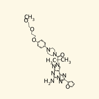 COCCOCCOc1ccc(N2CCN(C(=O)C(C)(C)n3cc4c(nc(N)n5nc(-c6ccco6)nc45)n3)CC2)cc1